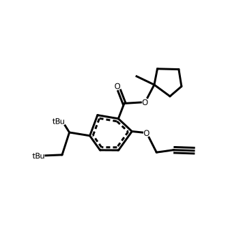 C#CCOc1ccc(C(CC(C)(C)C)C(C)(C)C)cc1C(=O)OC1(C)CCCC1